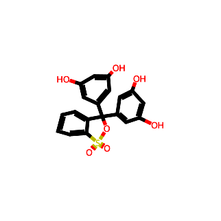 O=S1(=O)OC(c2cc(O)cc(O)c2)(c2cc(O)cc(O)c2)c2ccccc21